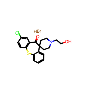 Br.O=C1c2cc(Cl)ccc2Sc2ccccc2C12CCN(CCO)CC2